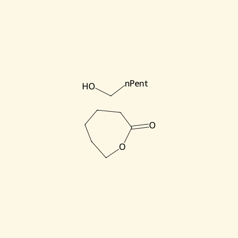 CCCCCCO.O=C1CCCCCO1